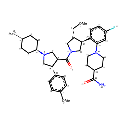 COC[C@H]1CN(C(=O)[C@@H]2CN([C@H]3CC[C@H](OC)CC3)C[C@H]2c2ccc(OC)cc2)C[C@@H]1c1ccc(F)cc1N1CCC(C(N)=O)CC1